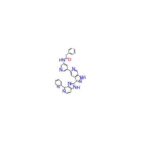 O=C(Cc1ccccc1)Nc1cncc(-c2cc3c(-c4nc5c(-c6ccccn6)nccc5[nH]4)n[nH]c3cn2)c1